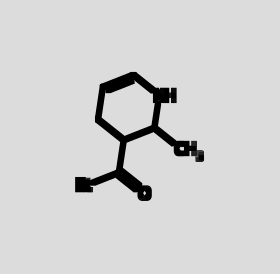 CCC(=O)C1CC=CNC1C